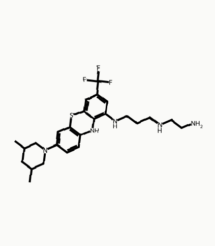 CC1CC(C)CN(c2ccc3c(c2)Sc2cc(C(F)(F)F)cc(NCCCNCCN)c2N3)C1